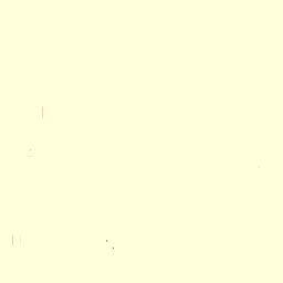 CC(=O)c1c(C)nc2ccc(Cl)cc2c1-c1ccccc1Cl